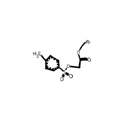 Cc1ccc(S(=O)(=O)OCC(=O)OC(C)C)cc1